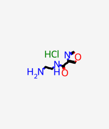 Cl.NCCNC(=O)c1cocn1